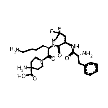 NCCCC[C@@H](NC(=O)C(CC(F)(F)F)NC(=O)[C@H](N)Cc1ccccc1)C(=O)N1CCC(N)(C(=O)O)CC1